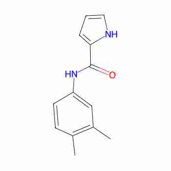 Cc1ccc(NC(=O)c2ccc[nH]2)cc1C